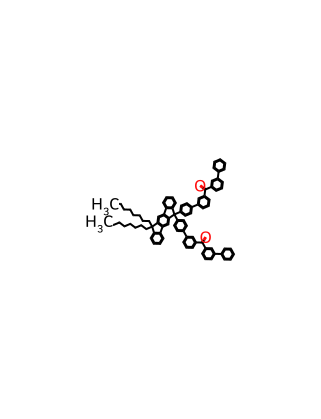 CCCCCCCCC1(CCCCCCCC)c2ccccc2-c2cc3c(cc21)-c1ccccc1C3(c1ccc(-c2cccc(C(=O)c3cccc(-c4ccccc4)c3)c2)cc1)c1ccc(-c2cccc(C(=O)c3cccc(-c4ccccc4)c3)c2)cc1